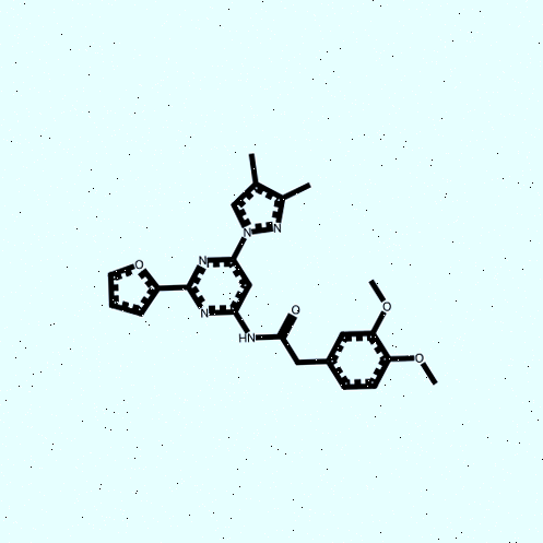 COc1ccc(CC(=O)Nc2cc(-n3cc(C)c(C)n3)nc(-c3ccco3)n2)cc1OC